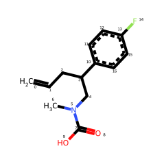 C=CCC(CN(C)C(=O)O)c1ccc(F)cc1